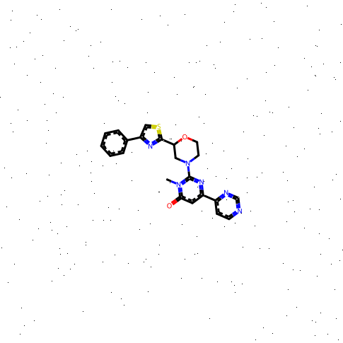 Cn1c(N2CCOC(c3nc(-c4ccccc4)cs3)C2)nc(-c2ccncn2)cc1=O